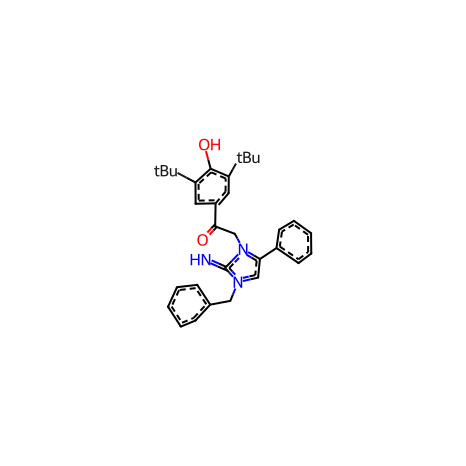 CC(C)(C)c1cc(C(=O)Cn2c(-c3ccccc3)cn(Cc3ccccc3)c2=N)cc(C(C)(C)C)c1O